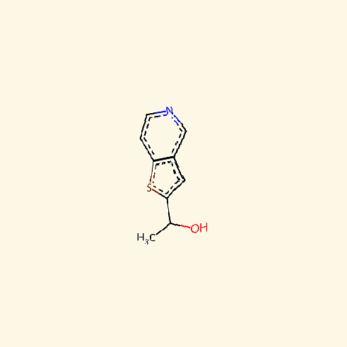 CC(O)c1cc2cnccc2s1